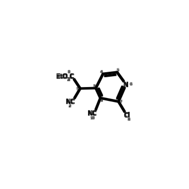 CCOC(=O)C(C#N)c1ccnc(Cl)c1C#N